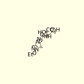 CCOc1ncc(Cn2nc(C(=O)N[C@H](Cc3ccccc3)[C@@H](O)C(=O)O)cc2C2CC2)cn1